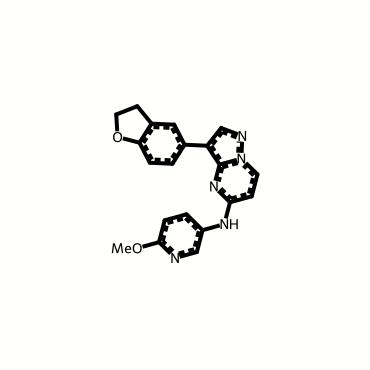 COc1ccc(Nc2ccn3ncc(-c4ccc5c(c4)CCO5)c3n2)cn1